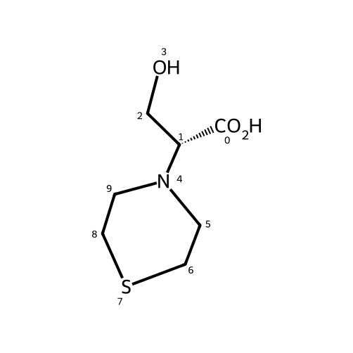 O=C(O)[C@@H](CO)N1CCSCC1